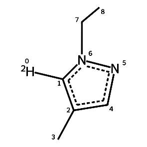 [2H]c1c(C)cnn1CC